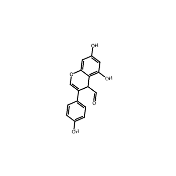 O=CC1C(c2ccc(O)cc2)=COc2cc(O)cc(O)c21